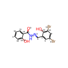 O=C(NN=Cc1cc(Br)cc(Br)c1O)c1ccccc1O